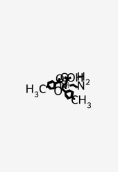 Cc1ccc(C(=O)N(C(=O)c2ccc(C)cc2)[C@@H](CCCN)C(=O)O)cc1